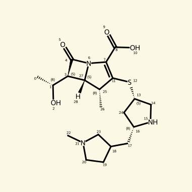 C[C@@H](O)[C@H]1C(=O)N2C(C(=O)O)=C(S[C@@H]3CN[C@H](CC4CCN(C)C4)C3)[C@H](C)[C@H]12